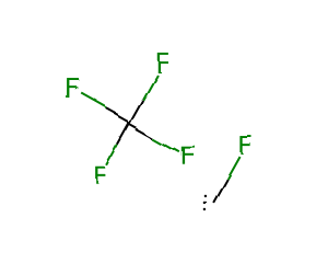 FC(F)(F)F.[C]F